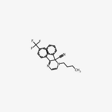 CCCCN1C=CN=C(c2ccc(C(F)(F)F)cc2)C1(C#N)c1ccccc1